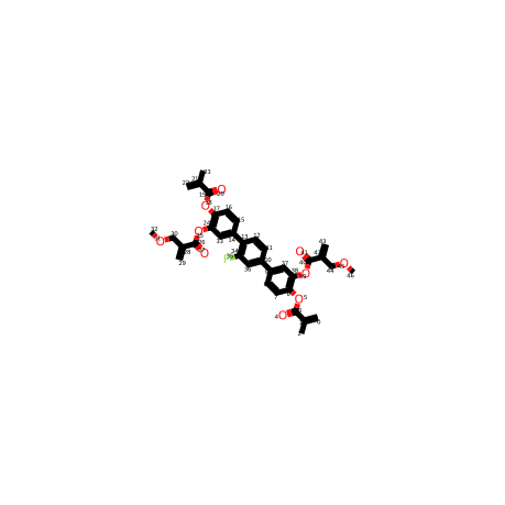 C=C(C)C(=O)Oc1ccc(-c2ccc(-c3ccc(OC(=O)C(=C)C)c(OC(=O)C(=C)COC)c3)c(F)c2)cc1OC(=O)C(=C)COC